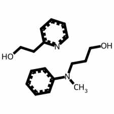 CN(CCCO)c1ccccc1.OCCc1ccccn1